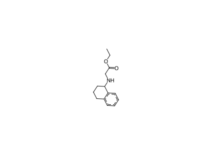 CCOC(=O)CNC1CCCc2ccccc21